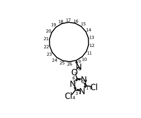 Clc1nc(Cl)nc(ON=C2CCCCCCCCCCCCCCCCC2)n1